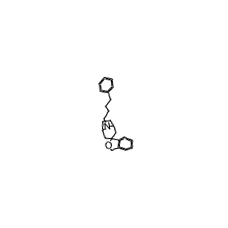 c1ccc(CCCCN2C3CCC2CC2(C3)OCc3ccccc32)cc1